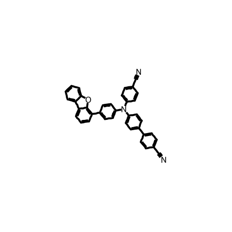 N#Cc1ccc(-c2ccc(N(c3ccc(C#N)cc3)c3ccc(-c4cccc5c4oc4ccccc45)cc3)cc2)cc1